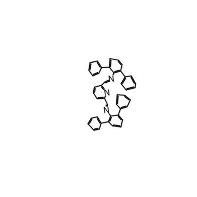 C(=N\c1c(-c2ccccc2)cccc1-c1ccccc1)/c1cccc(/C=N/c2c(-c3ccccc3)cccc2-c2ccccc2)n1